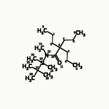 CCCC(CCC)(CCC)C(=O)N(C)[Si](C)(C)C(C)(C)C